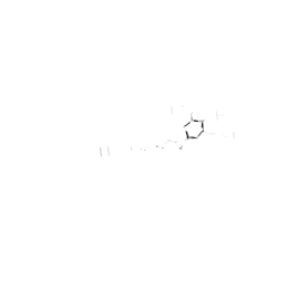 CC(C)(C)c1cc([S+]([O-])CCSCC(=O)O)cc(C(C)(C)C)c1O